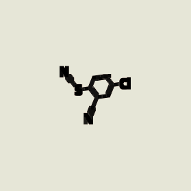 N#CSc1c[c]c(Cl)cc1C#N